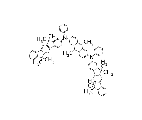 Cc1c2ccc(N(c3ccccc3)c3ccc4c(c3)C(C)(C)c3cc5c(cc3-4)C(C)(C)c3ccccc3-5)cc2c(C)c2ccc(N(c3ccccc3)c3ccc4c(c3)C(C)(C)c3cc5c(cc3-4)C(C)(C)c3ccccc3-5)cc12